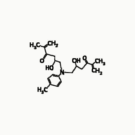 C=C(C)C(=O)CC(O)CN(CC(O)CC(=O)C(=C)C)c1ccc(C)cc1